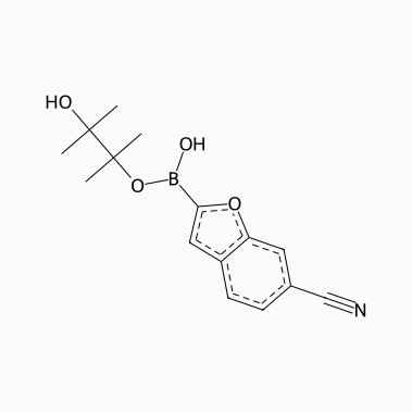 CC(C)(O)C(C)(C)OB(O)c1cc2ccc(C#N)cc2o1